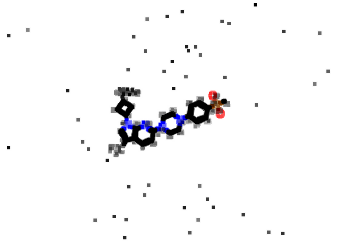 CN[C@H]1C[C@@H](n2cc(C(F)(F)F)c3ccc(N4CCN(c5ccc(S(C)(=O)=O)cc5)CC4)nc32)C1